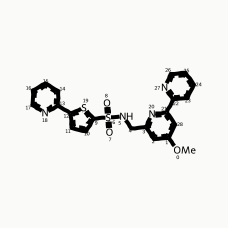 COc1cc(CNS(=O)(=O)c2ccc(-c3ccccn3)s2)nc(-c2ccccn2)c1